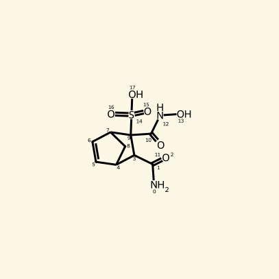 NC(=O)C1C2C=CC(C2)C1(C(=O)NO)S(=O)(=O)O